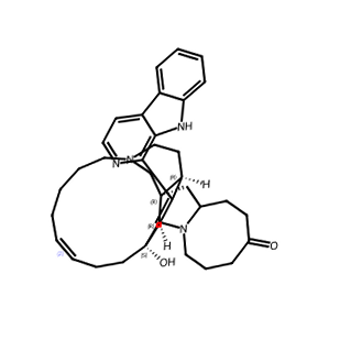 O=C1CCCN2C(CC1)C[C@]13CN4CCCC/C=C\CC[C@](O)(C=C(c5nccc6c5[nH]c5ccccc56)[C@@H]1CC4)[C@H]23